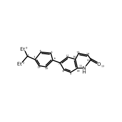 CCC(CC)c1ccc(-c2ccc3[nH]c(=O)ccc3c2)cc1